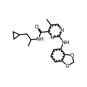 Cc1cnc(Nc2cccc3c2OCO3)nc1C(=O)NC(C)CC1CC1